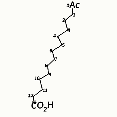 CC(=O)CCCCCCCCCCCCC(=O)O